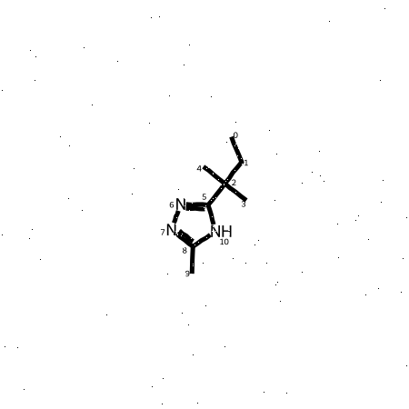 CCC(C)(C)c1nnc(C)[nH]1